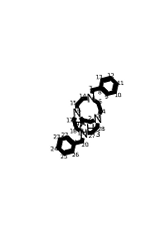 C[C@@H]1CN2CCN(Cc3ccccc3)CCN1CCN(Cc1ccccc1)CC2